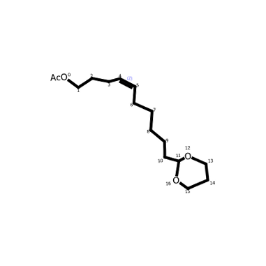 CC(=O)OCCC/C=C\CCCCCC1OCCCO1